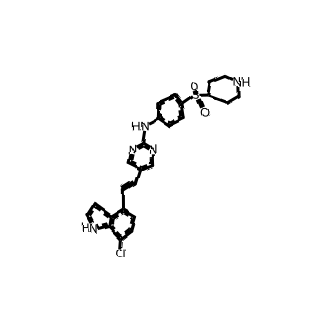 O=S(=O)(c1ccc(Nc2ncc(/C=C/c3ccc(Cl)c4[nH]ccc34)cn2)cc1)C1CCNCC1